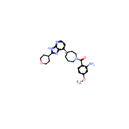 Nc1cc(OC(F)(F)F)ccc1C(=O)N1CCC[C@@H](c2ccnc3[nH]c(C4CCOCC4)nc23)CC1